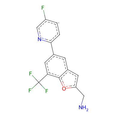 NCc1cc2cc(-c3c[c]c(F)cn3)cc(C(F)(F)F)c2o1